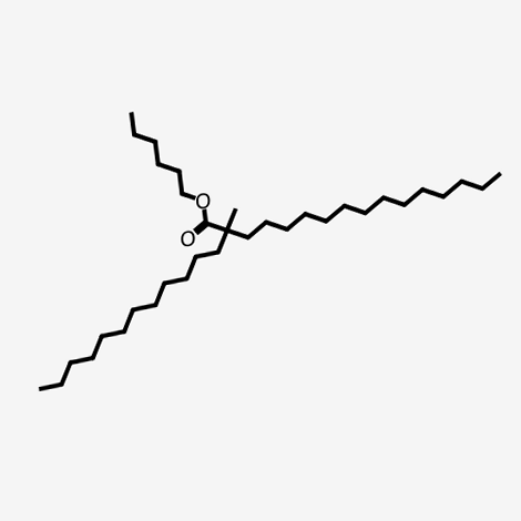 CCCCCCCCCCCCCCC(C)(CCCCCCCCCCCC)C(=O)OCCCCCC